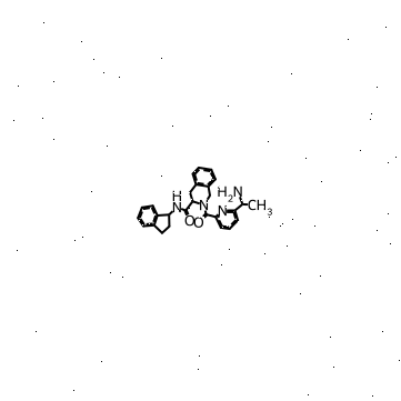 CC(N)c1cccc(C(=O)N2Cc3ccccc3CC2C(=O)NC2CCc3ccccc32)n1